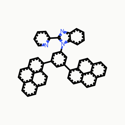 c1ccc(-c2nc3ccccc3n2-c2cc(-c3ccc4ccc5cccc6ccc3c4c56)cc(-c3ccc4ccc5cccc6ccc3c4c56)c2)nc1